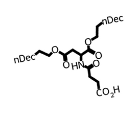 CCCCCCCCCCCCOC(=O)CC(NC(=O)CCC(=O)O)C(=O)OCCCCCCCCCCCC